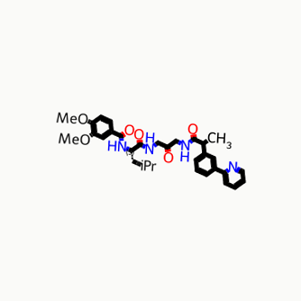 COc1ccc(C(=O)N[C@@H](CC(C)C)C(=O)NCC(=O)CNC(=O)C(C)c2cccc(-c3ccccn3)c2)cc1OC